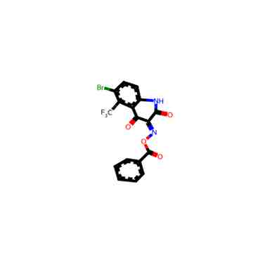 O=C1Nc2ccc(Br)c(C(F)(F)F)c2C(=O)C1=NOC(=O)c1ccccc1